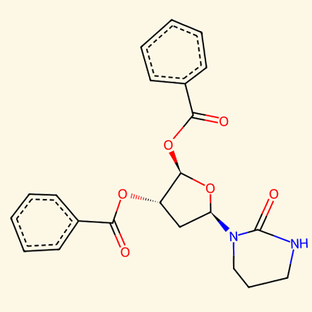 O=C(O[C@H]1O[C@@H](N2CCCNC2=O)C[C@@H]1OC(=O)c1ccccc1)c1ccccc1